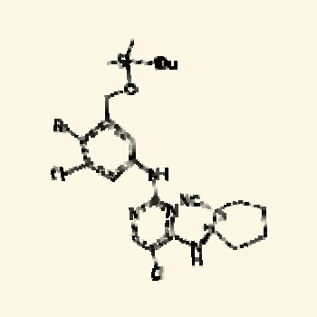 CC(C)(C)[Si](C)(C)OCc1cc(Nc2ncc(Cl)c(N[C@@H]3CCCC[C@H]3C#N)n2)cc(Cl)c1Br